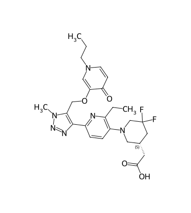 CCCn1ccc(=O)c(OCc2c(-c3ccc(N4C[C@@H](CC(=O)O)CC(F)(F)C4)c(CC)n3)nnn2C)c1